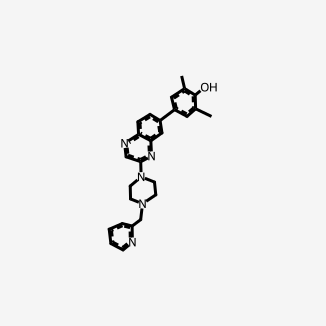 Cc1cc(-c2ccc3ncc(N4CCN(Cc5ccccn5)CC4)nc3c2)cc(C)c1O